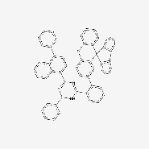 c1ccc(-c2ccc(C3=NC(c4ccccc4)NC(c4ccccc4-c4ccc5c(c4)C4(c6ccccc6O5)c5ccccc5-c5ccccc54)=N3)c3ccccc23)cc1